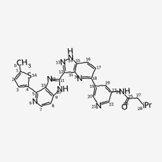 Cc1ccc(-c2nccc3[nH]c(-c4n[nH]c5ccc(-c6cncc(NC(=O)CC(C)C)c6)nc45)nc23)s1